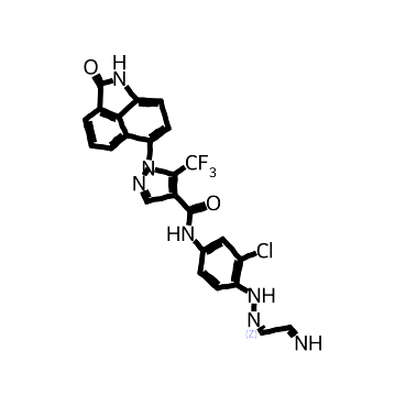 N=C/C=N\Nc1ccc(NC(=O)c2cnn(-c3ccc4c5c(cccc35)C(=O)N4)c2C(F)(F)F)cc1Cl